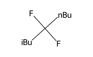 CCCCC(F)(F)C(C)CC